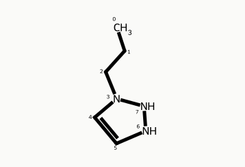 CCCN1C=CNN1